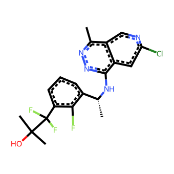 Cc1nnc(N[C@H](C)c2cccc(C(F)(F)C(C)(C)O)c2F)c2cc(Cl)ncc12